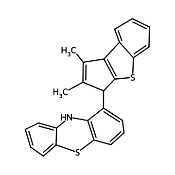 CC1=C(C)C(c2cccc3c2Nc2ccccc2S3)c2sc3ccccc3c21